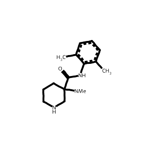 CNC1(C(=O)Nc2c(C)cccc2C)CCCNC1